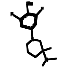 CN(C)C1(C)CCCN(c2cc(F)c(C(C)(C)C)c(F)c2)C1